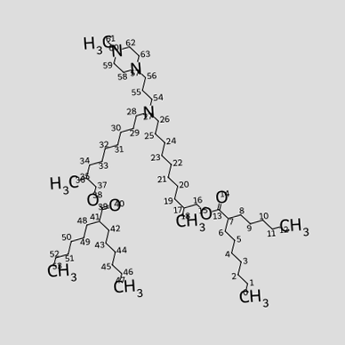 CCCCCCCC(CCCCC)C(=O)OCC(C)CCCCCCCCN(CCCCCCCC(C)COC(=O)C(CCCCCC)CCCCCC)CCCN1CCN(C)CC1